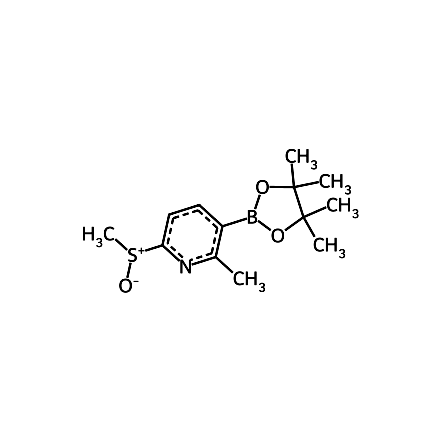 Cc1nc([S+](C)[O-])ccc1B1OC(C)(C)C(C)(C)O1